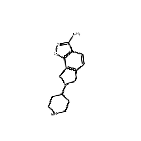 Cc1noc2c3c(ccc12)CN(C1CCNCC1)C3